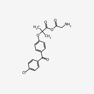 CC(C)(Oc1ccc(C(=O)c2ccc(Cl)cc2)cc1)C(=O)OC(=O)CN